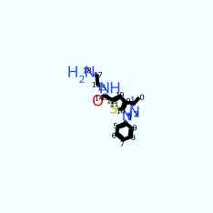 Cc1nn(-c2ccccc2)c2sc(C(=O)NCCN)cc12